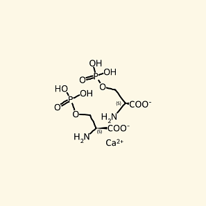 N[C@@H](COP(=O)(O)O)C(=O)[O-].N[C@@H](COP(=O)(O)O)C(=O)[O-].[Ca+2]